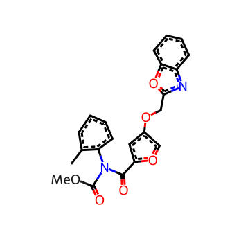 COC(=O)N(C(=O)c1cc(OCc2nc3ccccc3o2)co1)c1ccccc1C